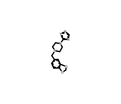 c1nsc(N2CCN(Cc3ccc4c(c3)OCO4)CC2)n1